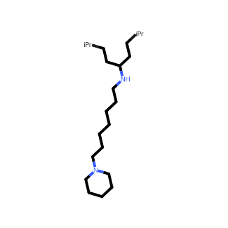 CC(C)CCC(CCC(C)C)NCCCCCCCN1CCCCC1